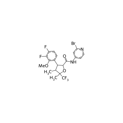 COc1c(C2C(C(=O)Nc3ccnc(Br)c3)OC(C)(C(F)(F)F)C2C)ccc(F)c1F